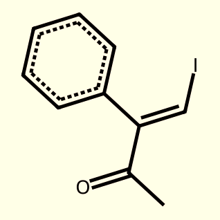 CC(=O)/C(=C/I)c1ccccc1